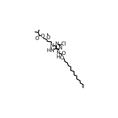 CCCCCCCCCCCCCCOC(=O)Nc1nc(Cl)nc2c1NCN2CCC(COC(=O)C(C)C)OC